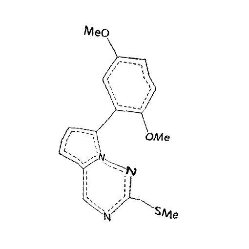 COc1ccc(OC)c(-c2ccc3cnc(SC)nn23)c1